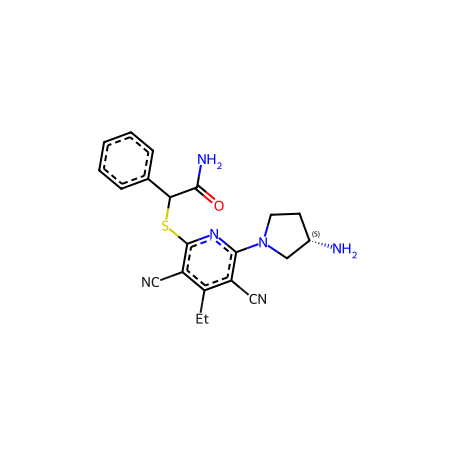 CCc1c(C#N)c(SC(C(N)=O)c2ccccc2)nc(N2CC[C@H](N)C2)c1C#N